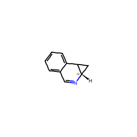 C1=N[C@H]2CC2c2ccccc21